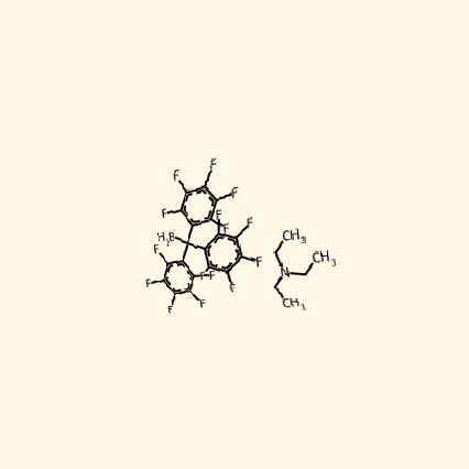 BC(c1c(F)c(F)c(F)c(F)c1F)(c1c(F)c(F)c(F)c(F)c1F)c1c(F)c(F)c(F)c(F)c1F.CCN(CC)CC